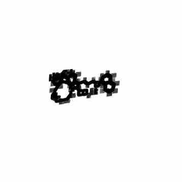 CCOC(=O)c1c(CCCOc2cccc3ccccc23)c2ccc(C)c3c2n1CCCCOCc1n[nH]c(C)c1-3